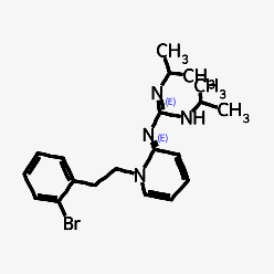 CC(C)/N=C(/N=c1\ccccn1CCc1ccccc1Br)NC(C)C